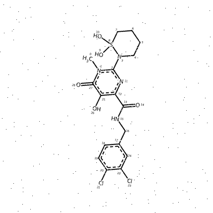 Cn1c(N2CCCCS2(O)O)nc(C(=O)NCc2ccc(Cl)c(Cl)c2)c(O)c1=O